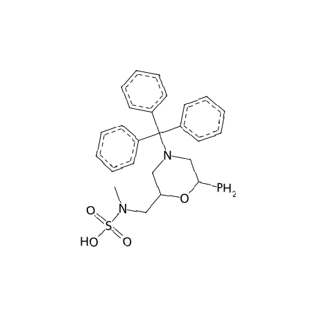 CN(CC1CN(C(c2ccccc2)(c2ccccc2)c2ccccc2)CC(P)O1)S(=O)(=O)O